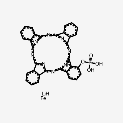 O=P(O)(O)Oc1cccc2c3nc4nc(nc5[nH]c(nc6nc(nc([nH]3)c12)-c1ccccc1-6)c1ccccc51)-c1ccccc1-4.[Fe].[LiH]